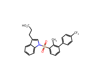 Cc1c(-c2ccc(C(F)(F)F)cc2)cccc1S(=O)(=O)n1cc(CCC(=O)O)c2ccccc21